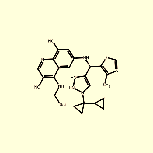 Cc1ncsc1[C@H](Nc1cc(C#N)c2ncc(C#N)c(NCC(C)(C)C)c2c1)C1=CN(C2(C3CC3)CC2)NN1